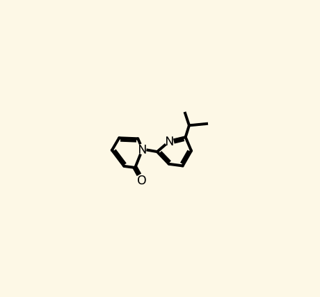 CC(C)c1cccc(-n2ccccc2=O)n1